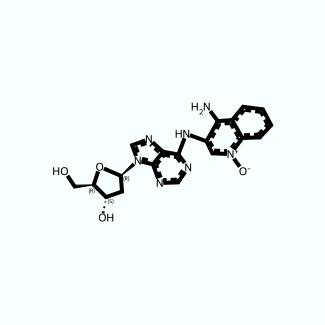 Nc1c(Nc2ncnc3c2ncn3[C@H]2C[C@H](O)[C@@H](CO)O2)c[n+]([O-])c2ccccc12